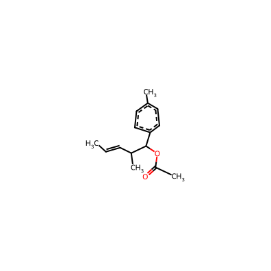 C/C=C/C(C)C(OC(C)=O)c1ccc(C)cc1